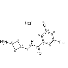 Cl.NC1CC(CNC(=O)c2cc(F)cc(Cl)c2)C1